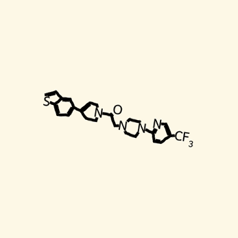 O=C(CN1CCN(c2ccc(C(F)(F)F)cn2)CC1)N1CC=C(c2ccc3sccc3c2)CC1